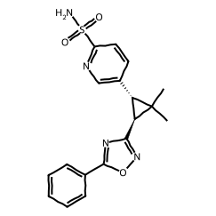 CC1(C)[C@@H](c2ccc(S(N)(=O)=O)nc2)[C@@H]1c1noc(-c2ccccc2)n1